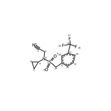 N#CCN(C1CC1)S(=O)(=O)Cc1cccc(C(F)(F)F)c1